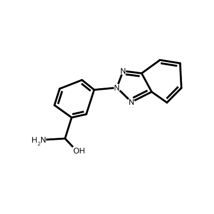 NC(O)c1cccc(-n2nc3ccccc3n2)c1